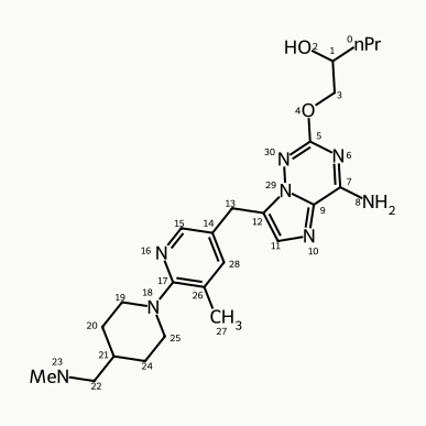 CCCC(O)COc1nc(N)c2ncc(Cc3cnc(N4CCC(CNC)CC4)c(C)c3)n2n1